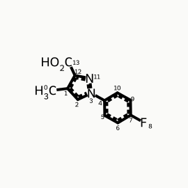 Cc1cn(-c2ccc(F)cc2)nc1C(=O)O